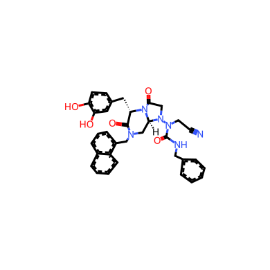 N#CCN(C(=O)NCc1ccccc1)N1CC(=O)N2[C@@H](Cc3ccc(O)c(O)c3)C(=O)N(Cc3cccc4ccccc34)C[C@@H]21